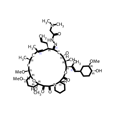 C=CC[C@@H]1/C=C(\C)C[C@H](C)C[C@H](OC)[C@H]2O[C@@](O)(C(=O)C(=O)N3CCCC[C@H]3C(=O)O[C@H](/C(C)=C/C3CC[C@@H](O)[C@H](OC)C3)[C@H](C)[C@@H](O)C/C1=N/NC(=O)CN(C)C)[C@H](C)C[C@@H]2OC